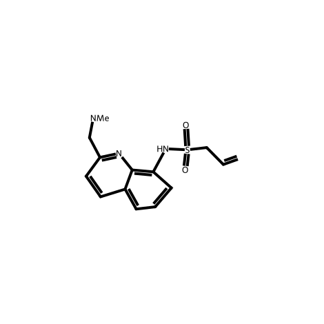 C=CCS(=O)(=O)Nc1cccc2ccc(CNC)nc12